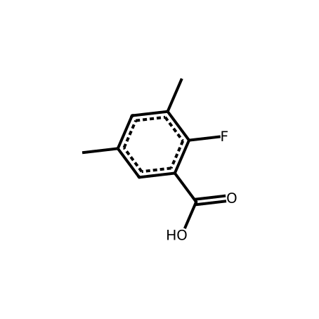 Cc1cc(C)c(F)c(C(=O)O)c1